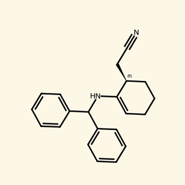 N#CC[C@H]1CCCC=C1NC(c1ccccc1)c1ccccc1